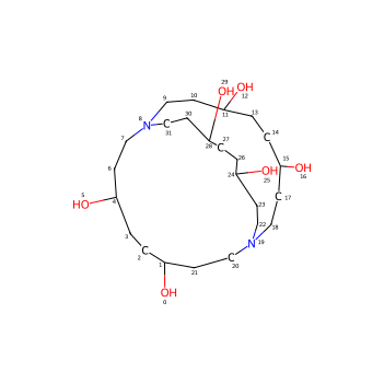 OC1CCC(O)CCN2CCC(O)CCC(O)CCN(CC1)CCC(O)CCC(O)CC2